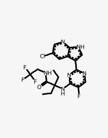 CCC(CC)(Nc1nc(-c2c[nH]c3ncc(Cl)cc23)ncc1F)C(=O)NCC(F)(F)F